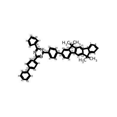 CC1(C)c2ccccc2-c2cc3c(cc21)-c1ccc(-c2ccc(-c4nc(-c5ccccc5)nc(-c5ccc(-c6ccccc6)cc5)n4)cc2)cc1C3(C)C